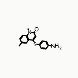 Cc1ccc2c(c1)c(Sc1ccc(N)cc1)cc(=O)n2C